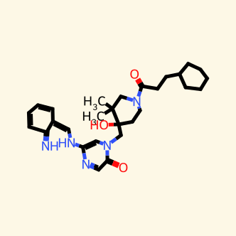 CC1(C)CN(C(=O)CCC2CCCCC2)CCC1(O)Cn1cc(N/C=C2/C=CC=CC2=N)ncc1=O